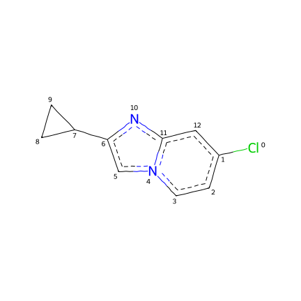 Clc1ccn2cc(C3CC3)nc2c1